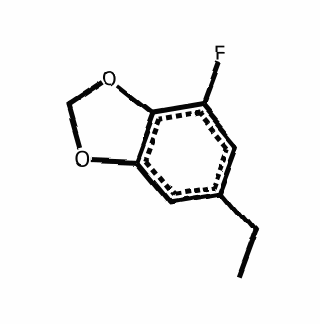 CCc1cc(F)c2c(c1)OCO2